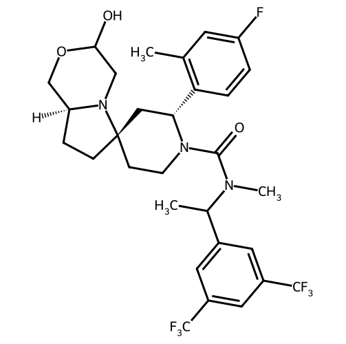 Cc1cc(F)ccc1[C@H]1C[C@]2(CC[C@H]3COC(O)CN32)CCN1C(=O)N(C)C(C)c1cc(C(F)(F)F)cc(C(F)(F)F)c1